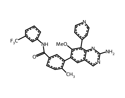 COc1c(-c2cc(C(=O)Nc3cccc(C(F)(F)F)c3)ccc2C)cc2cnc(N)nc2c1-c1ccncc1